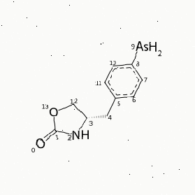 O=C1N[C@@H](Cc2ccc([AsH2])cc2)CO1